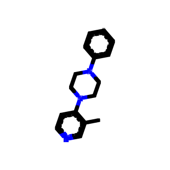 Cc1cnccc1N1CCN(c2cc[c]cc2)CC1